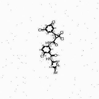 O=C(Nc1nnc(Br)s1)c1cc(NC(=O)C2C(c3cc(Cl)cc(Cl)c3)C2(Cl)Cl)ccc1Cl